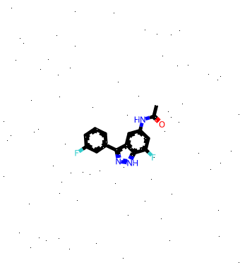 CC(=O)Nc1cc(F)c2[nH]nc(-c3cccc(F)c3)c2c1